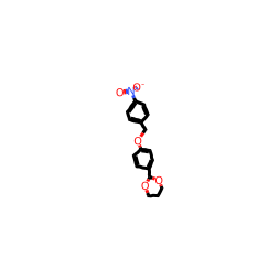 O=[N+]([O-])c1ccc(COc2ccc(C3OCCCO3)cc2)cc1